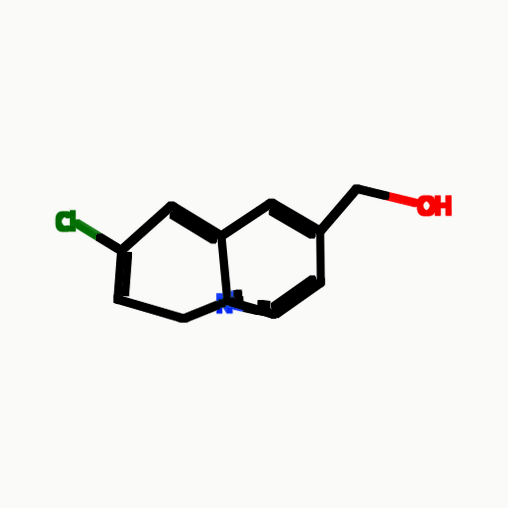 OCC1=CC2=CC(Cl)=CCC23C=NC=CC3=C1